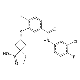 CC[C@]1(C(=O)O)C[C@H](Sc2cc(C(=O)Nc3ccc(F)c(Cl)c3)ccc2F)C1